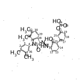 Cc1ccc(N2C(=O)C(=NNc3cccc(-c4cccc(OC(=O)O)c4)c3O)c3ccc(C)c(C)c32)cc1C